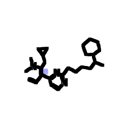 C=C/C(=C(/CC1CC1)N(C)C)c1ccnc(CCCCC(C)C2CCCCC2)n1